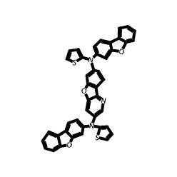 c1csc(N(c2ccc3c(c2)oc2ccccc23)c2ccc3c(c2)oc2cc(N(c4ccc5c(c4)oc4ccccc45)c4cccs4)cnc23)c1